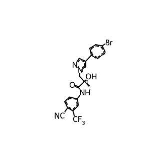 C[C@](O)(Cn1cc(-c2ccc(Br)cc2)cn1)C(=O)Nc1ccc(C#N)c(C(F)(F)F)c1